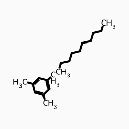 CCCCCCCCCC.Cc1cc(C)cc(C)c1